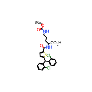 CC(C)(C)OC(=O)NCCC[C@H](NC(=O)c1ccc(C(c2ccccc2Cl)c2ccccc2Cl)s1)C(=O)O